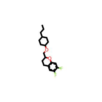 CCCC1CCC(OCC2CCc3cc(F)c(F)cc3O2)CC1